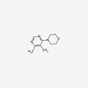 Cc1n[c]nc(N2CCOCC2)c1C